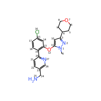 Cn1nc(C2CCOCC2)cc1Oc1cc(Cl)ccc1-c1ccc(CN)cn1